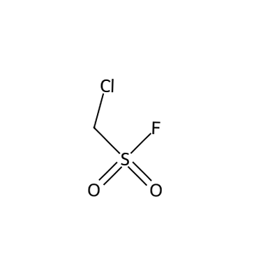 O=S(=O)(F)CCl